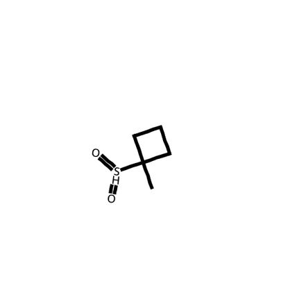 CC1([SH](=O)=O)CCC1